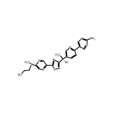 CC(C)[C@](C)(c1ccc(-c2cnc(N)nc2)nc1)c1noc(-c2cnc(N(C)CCO)cn2)n1